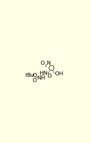 CC(C)(C)OC(=O)NCCNC(=O)c1cc([N+](=O)[O-])ccc1CO